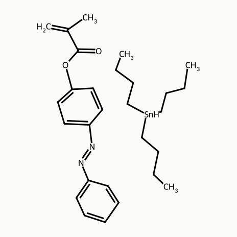 C=C(C)C(=O)Oc1ccc(/N=N/c2ccccc2)cc1.CCC[CH2][SnH]([CH2]CCC)[CH2]CCC